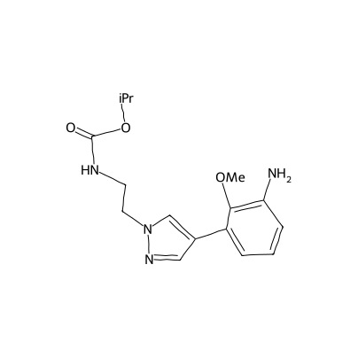 COc1c(N)cccc1-c1cnn(CCNC(=O)OC(C)C)c1